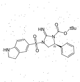 CC(C)(C)OC(=O)N1C(=N)N(S(=O)(=O)c2ccc3c(c2)CCN3)C[C@@H]1c1ccccc1